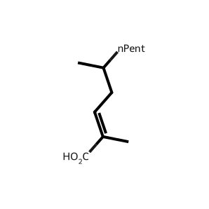 CCCCCC(C)CC=C(C)C(=O)O